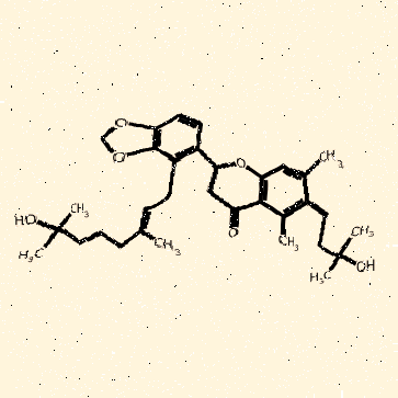 C/C(=C\Cc1c(C2CC(=O)c3c(cc(C)c(CCC(C)(C)O)c3C)O2)ccc2c1OCO2)CCCC(C)(C)O